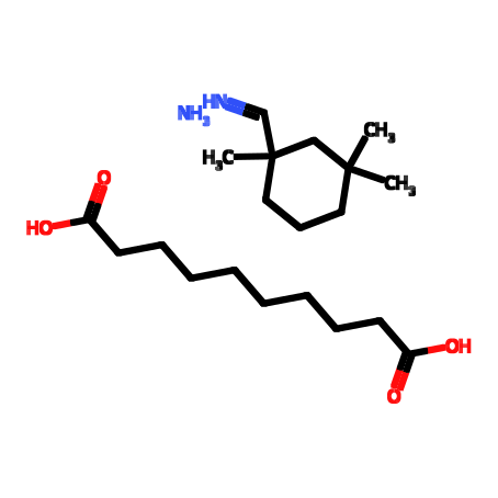 CC1(C)CCCC(C)(C=N)C1.N.O=C(O)CCCCCCCCC(=O)O